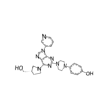 OC[C@H]1CCN(c2nc(N3CCN(c4ccc(O)cc4)CC3)nc3c2ncn3-c2cccnc2)C1